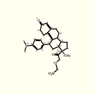 CC(=O)O[C@]1(C(=O)COCN)CCC2C3CCC4=CC(=O)CCC4=C3C(c3ccc(N(C)C)cc3)C[C@@]21C